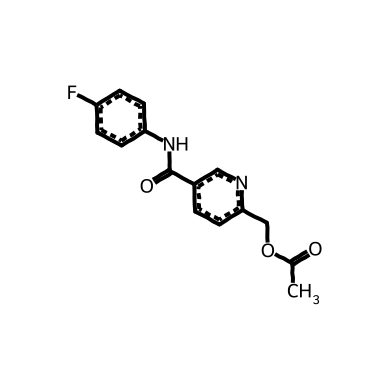 CC(=O)OCc1ccc(C(=O)Nc2ccc(F)cc2)cn1